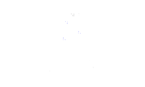 CC(=O)NNc1nc(-c2ccccc2)c2cc(C(F)(F)F)ccc2n1